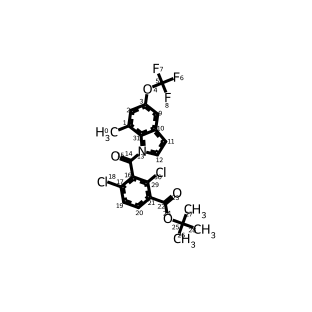 Cc1cc(OC(F)(F)F)cc2ccn(C(=O)c3c(Cl)ccc(C(=O)OC(C)(C)C)c3Cl)c12